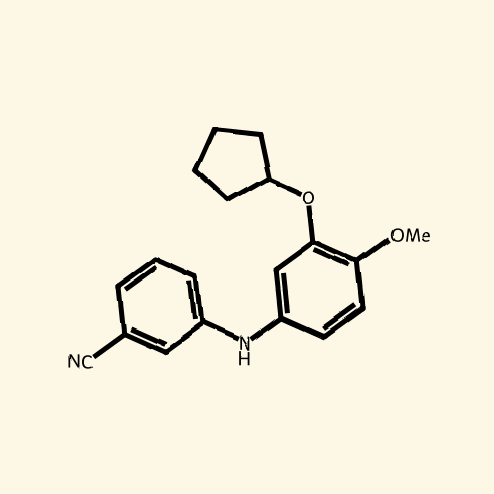 COc1ccc(Nc2cccc(C#N)c2)cc1OC1CCCC1